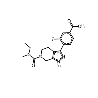 CCN(C)C(=O)N1CCc2c(-c3ccc(C(=O)O)cc3F)n[nH]c2C1